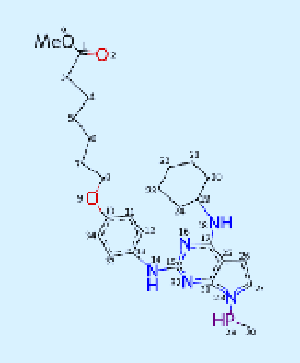 COC(=O)CCCCCCOc1ccc(Nc2nc(NC3CCCCC3)c3ccn(PC)c3n2)cc1